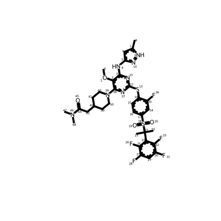 COc1c(Nc2cc(C)[nH]n2)nc(Sc2ccc(S(=O)(=O)C(C)(C)c3c(F)c(F)cc(F)c3F)cc2F)nc1N1CCC(CC(=O)N(C)C)CC1